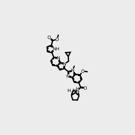 COC(=O)c1ccc(-c2ccc3cc(-c4nc5cc(C(=O)N6CC7CCC6[C@@H]7N)cc(OC)c5n4C)n(CC4CC4)c3n2)[nH]1